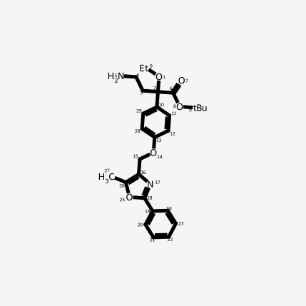 CCOC(CCN)(C(=O)OC(C)(C)C)c1ccc(OCc2nc(-c3ccccc3)oc2C)cc1